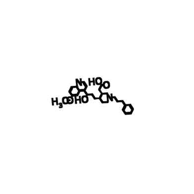 COc1ccc2nccc(C(O)CC[C@@H]3CCN(CCCc4ccccc4)C[C@@H]3CC(=O)O)c2c1